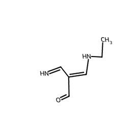 CCN/C=C(\C=N)C=O